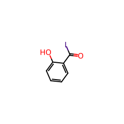 O=C(I)c1ccccc1O